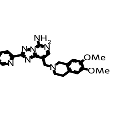 COc1cc2c(cc1OC)CN(Cc1cnc(N)n3nc(-c4ccccn4)nc13)CC2